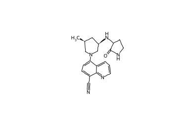 C[C@H]1C[C@@H](NC2CCNC2=O)CN(c2ccc(C#N)c3ncccc23)C1